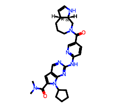 CN(C)C(=O)c1cc2cnc(Nc3ccc(C(=O)N4CCC[C@@H]5C=CN[C@@H]5C4)cn3)nc2n1C1CCCC1